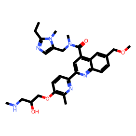 CCc1ncc(CN(C)C(=O)c2cc(-c3ccc(OCC(O)CNC)c(C)n3)nc3ccc(COC)cc23)n1C